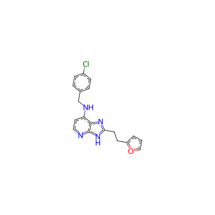 Clc1ccc(CNc2ccnc3[nH]c(CCc4ccco4)nc23)cc1